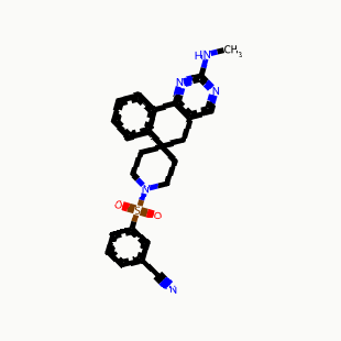 CNc1ncc2c(n1)-c1ccccc1C1(CCN(S(=O)(=O)c3cccc(C#N)c3)CC1)C2